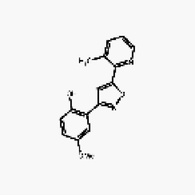 COc1ccc(O)c(-c2cc(-c3ncccc3C)on2)c1